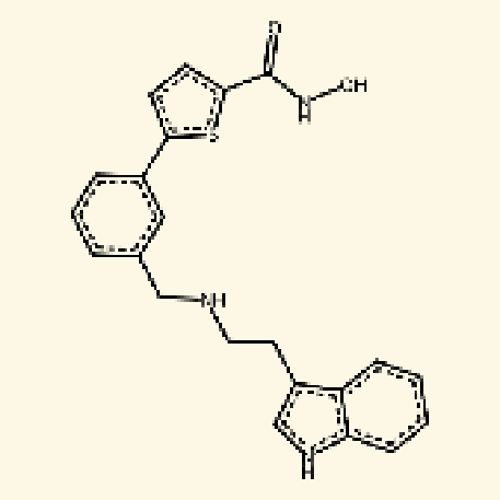 O=C(NO)c1ccc(-c2cccc(CNCCc3c[nH]c4ccccc34)c2)s1